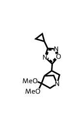 COC1(OC)CN2CC(c3nc(C4CC4)no3)C1C2